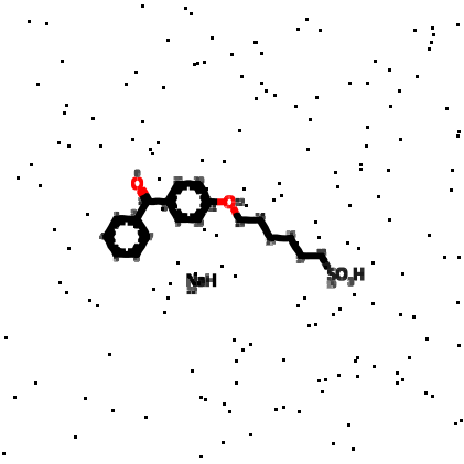 O=C(c1ccccc1)c1ccc(OCCCCCCS(=O)(=O)O)cc1.[NaH]